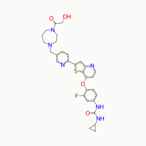 O=C(Nc1ccc(Oc2ccnc3cc(-c4ccc(CN5CCCN(C(=O)CO)CC5)cn4)sc23)c(F)c1)NC1CC1